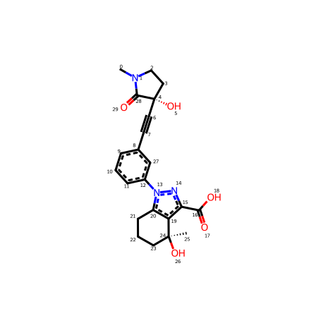 CN1CC[C@@](O)(C#Cc2cccc(-n3nc(C(=O)O)c4c3CCC[C@]4(C)O)c2)C1=O